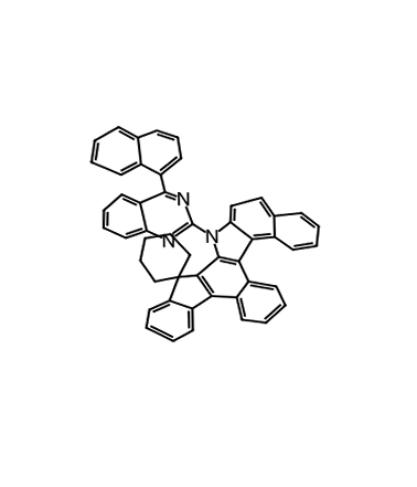 c1ccc2c(c1)-c1c(c3c(c4ccccc14)c1c4ccccc4ccc1n3-c1nc(-c3cccc4ccccc34)c3ccccc3n1)C21CCCCC1